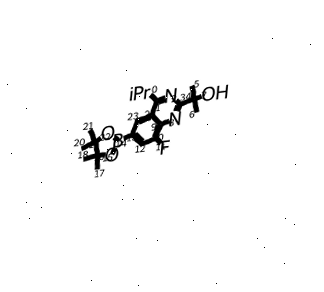 CC(C)c1nc(C(C)(C)O)nc2c(F)cc(B3OC(C)(C)C(C)(C)O3)cc12